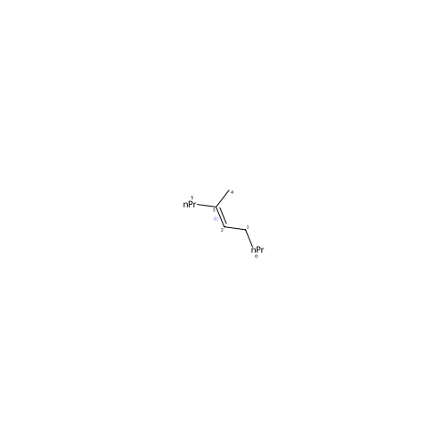 [CH2]CCC/C=C(\C)CCC